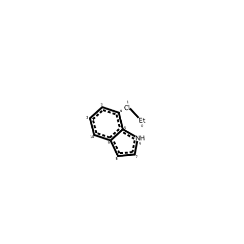 CCCl.c1ccc2[nH]ccc2c1